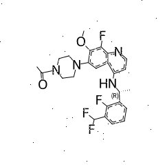 COc1c(N2CCN(C(C)=O)CC2)cc2c(N[C@H](C)c3cccc(C(F)F)c3F)ccnc2c1F